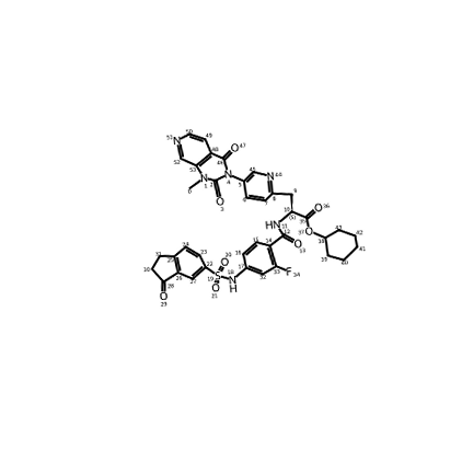 Cn1c(=O)n(-c2ccc(C[C@H](NC(=O)c3ccc(NS(=O)(=O)c4ccc5c(c4)C(=O)CC5)cc3F)C(=O)OC3CCCCC3)nc2)c(=O)c2ccncc21